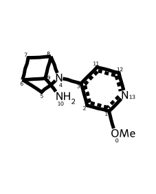 COc1cc(N2CC3CC2C3N)ccn1